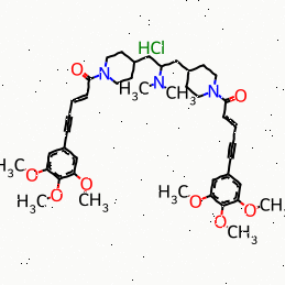 COc1cc(C#CC=CC(=O)N2CCC(CC(CC3CCN(C(=O)C=CC#Cc4cc(OC)c(OC)c(OC)c4)CC3)N(C)C)CC2)cc(OC)c1OC.Cl